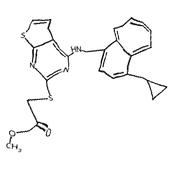 COC(=O)CSc1nc(Nc2ccc(C3CC3)c3ccccc23)c2ccsc2n1